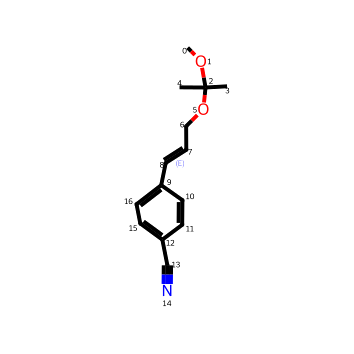 COC(C)(C)OC/C=C/c1ccc(C#N)cc1